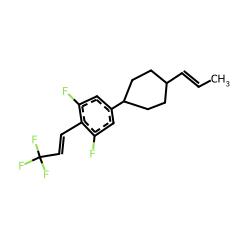 C/C=C/C1CCC(c2cc(F)c(/C=C/C(F)(F)F)c(F)c2)CC1